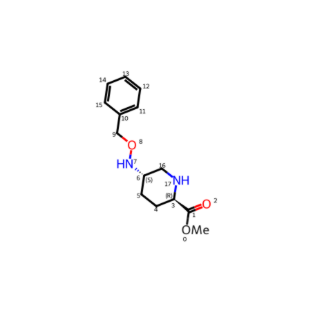 COC(=O)[C@H]1CC[C@H](NOCc2ccccc2)CN1